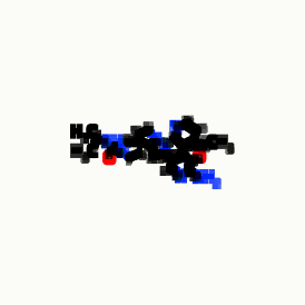 CC(C)NC(=O)N1CC[C@@]2(CCn3nc(-c4cnc(N)c(O[C@H](C)c5ccncc5)c4)cc32)C1